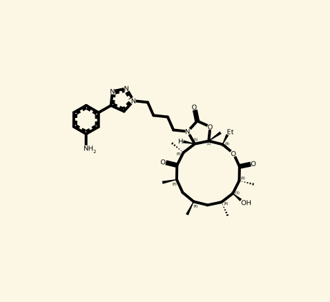 CC[C@H]1OC(=O)[C@H](C)[C@@H](O)[C@H](C)C[C@@H](C)C[C@@H](C)C(=O)[C@H](C)[C@@H]2N(CCCCn3cc(-c4cccc(N)c4)nn3)C(=O)O[C@@]21C